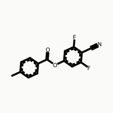 Cc1ccc(C(=O)Oc2cc(F)c(C#N)c(F)c2)cc1